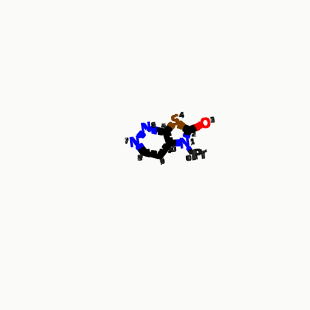 CC(C)n1c(=O)sc2nnccc21